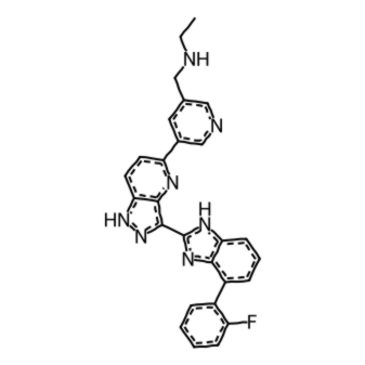 CCNCc1cncc(-c2ccc3[nH]nc(-c4nc5c(-c6ccccc6F)cccc5[nH]4)c3n2)c1